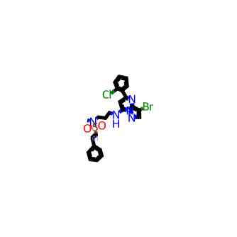 CN(CCCNc1cc(-c2ccccc2Cl)nc2c(Br)cnn12)S(=O)(=O)/C=C/c1ccccc1